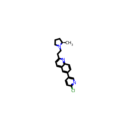 C[C@@H]1CCCN1CCc1ccc2cc(-c3ccc(Cl)nc3)ccc2n1